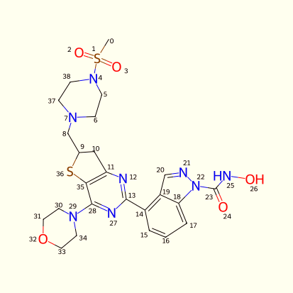 CS(=O)(=O)N1CCN(CC2Cc3nc(-c4cccc5c4cnn5C(=O)NO)nc(N4CCOCC4)c3S2)CC1